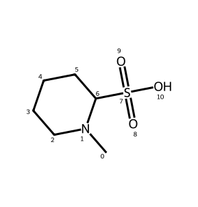 CN1CCCCC1S(=O)(=O)O